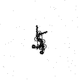 CCCCCCCC[C@@H]1CC(C(=O)c2ccc(C(=O)N3C[C@@H](C(=O)N[C@H]4C[C@@H]4c4ccccc4)[C@H](C(=O)N[C@H]4C[C@@H]4c4ccccc4)C3)cc2)C[C@H]1C(=O)NCCCCCC